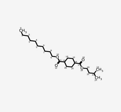 CCCCCCCCCCOC(=O)C1CCC(C(=O)OCCC(C)C)CC1